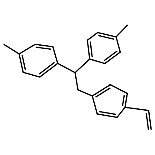 C=Cc1ccc(CC(c2ccc(C)cc2)c2ccc(C)cc2)cc1